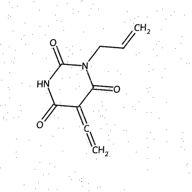 C=C=C1C(=O)NC(=O)N(CC=C)C1=O